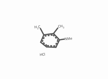 CNc1cccc(C)c1C.Cl